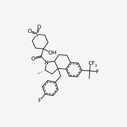 C[C@H]1CC2(Cc3ccc(F)cc3)c3ccc(C(C)(F)C(F)(F)F)cc3CCC2N1C(=O)C1(O)CCS(=O)(=O)CC1